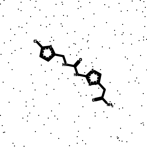 NC(=O)Cc1csc(NC(=O)NCc2ccc(Cl)s2)n1